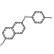 O=C(O)c1ccc2cc(Oc3ccc(I)cc3)ccc2c1